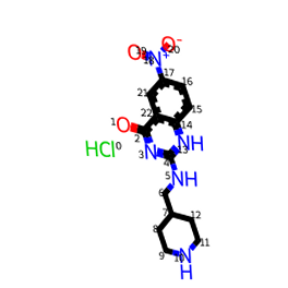 Cl.O=c1nc(NCC2CCNCC2)[nH]c2ccc([N+](=O)[O-])cc12